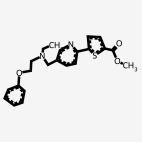 CCN(CCOc1ccccc1)Cc1ccc(-c2ccc(C(=O)OC)s2)nc1